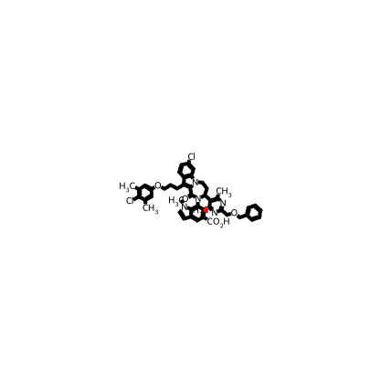 Cc1cc(OCCCc2c3n(c4cc(Cl)ccc24)CCC(c2c(C)nc(COCc4ccccc4)nc2C)N(c2cc(C(=O)O)cc4ccn(C)c24)C3=O)cc(C)c1Cl